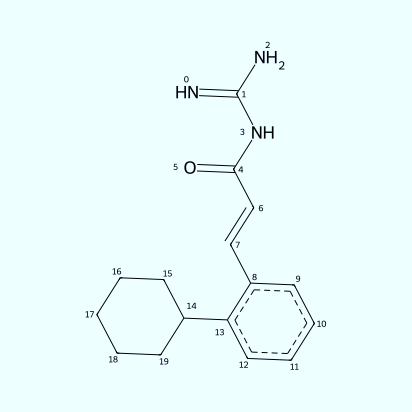 N=C(N)NC(=O)C=Cc1ccccc1C1CCCCC1